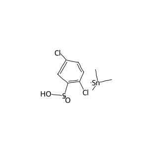 O=S(O)c1cc(Cl)ccc1Cl.[CH3][Sn]([CH3])[CH3]